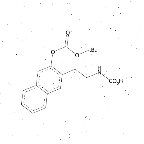 CC(C)(C)OC(=O)Oc1cc2ccccc2cc1CCNC(=O)O